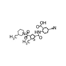 Cc1sc(C(=O)Nc2ccc(C#N)cc2C(=O)O)cc1S(=O)(=O)N1CCCC(C)C1